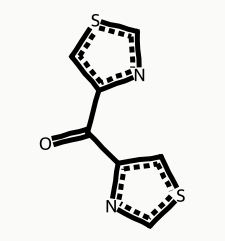 O=C(c1cscn1)c1cscn1